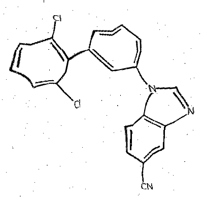 N#Cc1ccc2c(c1)ncn2-c1cccc(-c2c(Cl)cccc2Cl)c1